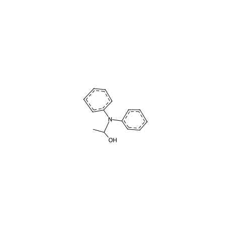 CC(O)N(c1ccccc1)c1ccccc1